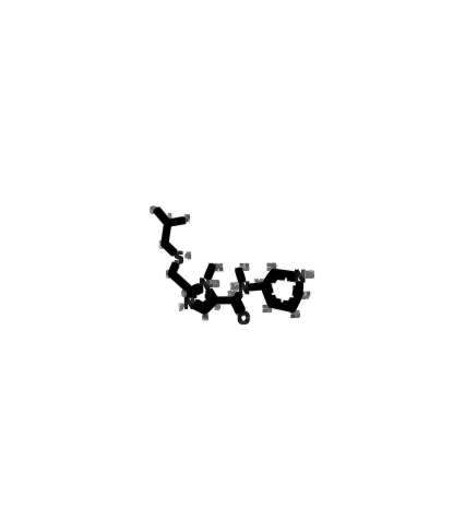 CC(C)CSCc1ncc(C(=O)N(C)c2cccnc2)n1C